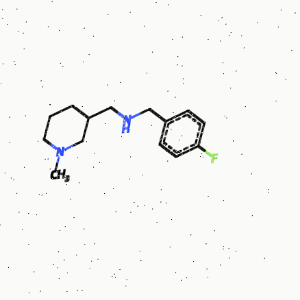 CN1CCCC(CNCc2ccc(F)cc2)C1